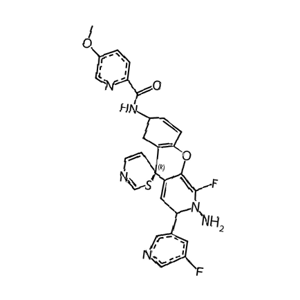 COc1ccc(C(=O)NC2C=CC3=C(C2)[C@@]2(C=CN=CS2)C2=CC(c4cncc(F)c4)N(N)C(F)=C2O3)nc1